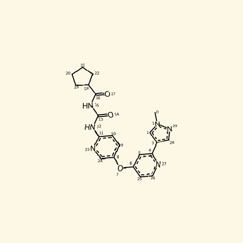 Cn1cc(-c2cc(Oc3ccc(NC(=O)NC(=O)C4CCCC4)nc3)ccn2)cn1